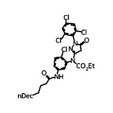 CCCCCCCCCCCCCC(=O)Nc1ccc(Cl)c(N(C(=O)OCC)C2=NN(c3c(Cl)cc(Cl)cc3Cl)C(=O)C2)c1